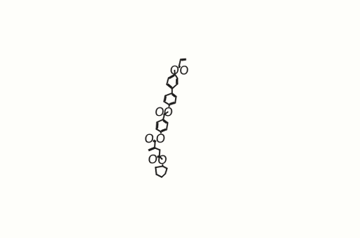 C=CC(=O)Oc1ccc(-c2ccc(OC(=O)c3ccc(OC(=O)C(=C)CC(=O)OC4CCCCC4)cc3)cc2)cc1